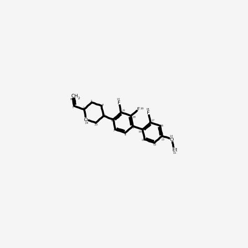 C=CC1CCC(c2ccc(-c3ccc(OCC)cc3F)c(F)c2F)CO1